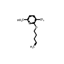 C=CCCCOc1nc(C(=O)O)ccc1C(F)(F)F